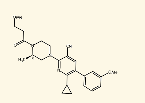 COCCC(=O)N1CCN(c2nc(C3CC3)c(-c3cccc(OC)c3)cc2C#N)C[C@H]1C